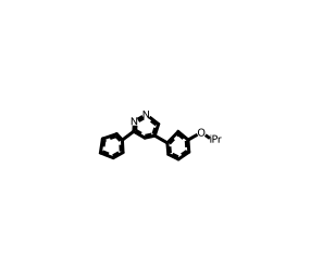 CC(C)Oc1cccc(-c2cnnc(-c3ccccc3)c2)c1